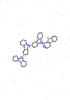 c1ccc2c(c1)sc1c(-n3c4ccccc4c4cc(-n5c6ccccc6c6cc(-n7c8ccccc8c8ccccc87)ccc65)ccc43)nccc12